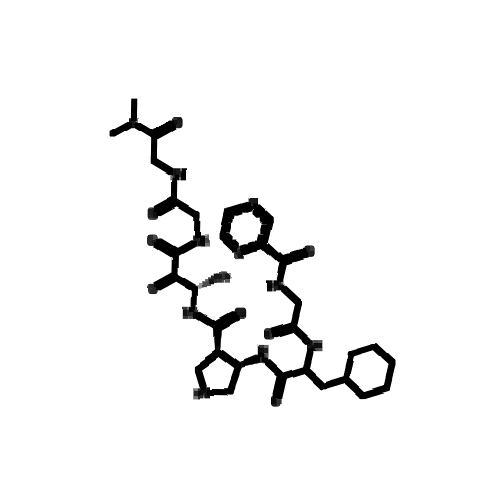 CCC[C@H](NC(=O)[C@@H]1CNC[C@@H]1NC(=O)C(CC1CCCCC1)NC(=O)CNC(=O)c1cnccn1)C(=O)C(=O)NCC(=O)NCC(=O)N(C)C